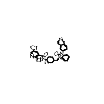 O=C(N[C@H]1CC[C@H](Cn2c(=O)n(-c3ccc4cnccc4c3)c3ccccc32)CC1)c1cc(Cl)cnc1C(F)(F)F